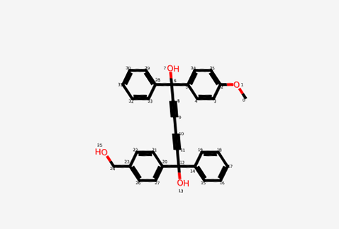 COc1ccc(C(O)(C#CC#CC(O)(c2ccccc2)c2ccc(CO)cc2)c2ccccc2)cc1